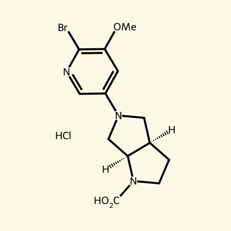 COc1cc(N2C[C@H]3CCN(C(=O)O)[C@H]3C2)cnc1Br.Cl